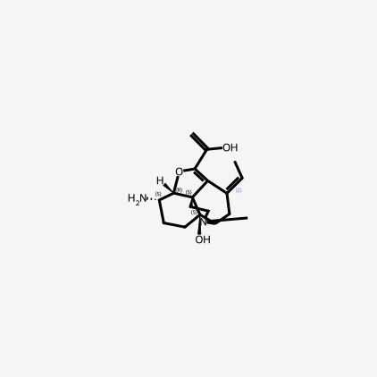 C=C(O)C1=C2/C(=C\C)CC3N(C)CC[C@@]24[C@@H](O1)[C@@H](N)CC[C@@]34O